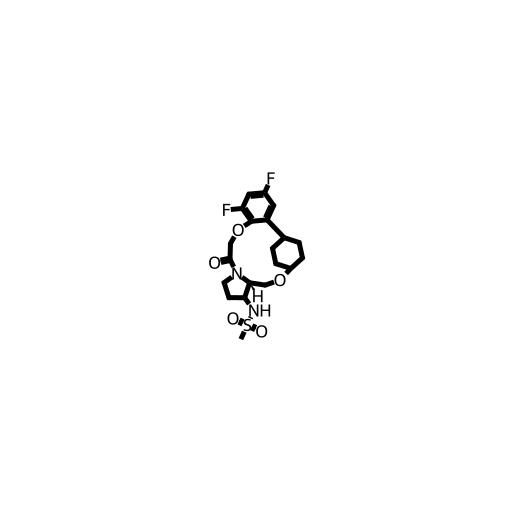 CS(=O)(=O)NC1CCN2C(=O)COc3c(F)cc(F)cc3C3CCC(CC3)OC[C@@H]12